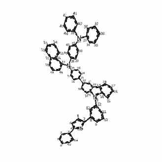 c1ccc(-c2ccc(-c3cccc(-n4c5ccccc5c5cc(-c6ccc(N(c7ccc(N(c8ccccc8)c8ccccc8)cc7)c7cccc8ccccc78)cc6)ccc54)c3)s2)cc1